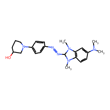 CN(C)c1ccc2c(c1)N(C)C(N=Nc1ccc(N3CCCC(O)C3)cc1)N2C